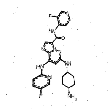 N[C@H]1CC[C@H](Nc2cc(Nc3ccc(F)cn3)c3ncc(C(=O)Nc4ccncc4F)n3n2)CC1